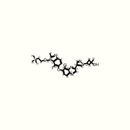 Cc1nc2ccc(Oc3ccc4ncc(-c5cnn(C6CC(C)(O)C6)c5)nc4c3Cl)c(F)c2n1COCC[Si](C)(C)C